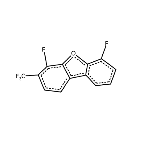 Fc1cccc2c1oc1c(F)c(C(F)(F)F)ccc12